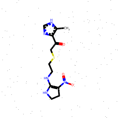 Cc1[nH]cnc1C(=O)CSCCNC1=C([N+](=O)[O-])CCN1